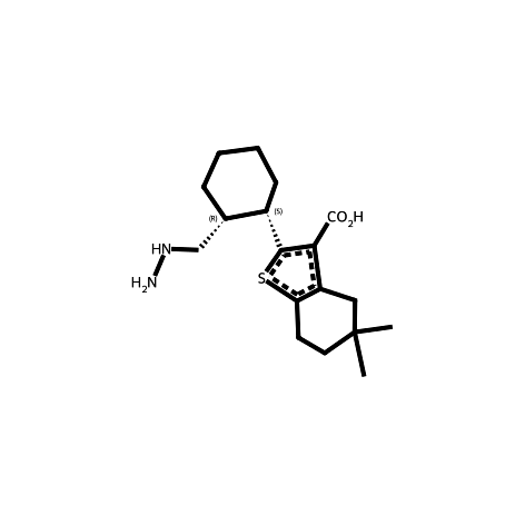 CC1(C)CCc2sc([C@H]3CCCC[C@H]3CNN)c(C(=O)O)c2C1